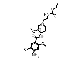 CCOC(=O)NCCN1CC[C@@H](NC(=O)c2cc(Cl)c(N)cc2OC)[C@@H](OC)C1